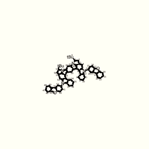 CC(C)(C)c1cc2cc3c(c4ccccc4n3-c3ccc4oc5ccccc5c4c3)c3c4cc5c6c7c8ccccc8n(-c8ccc9oc%10ccccc%10c9c8)c7cc7cc(C(C)(C)C)n(c5cc4n1c23)c76